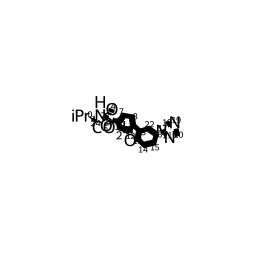 CC(C)[C@H](NS(=O)(=O)c1ccc2c(c1)oc1ccc(-n3cncn3)cc12)C(=O)O